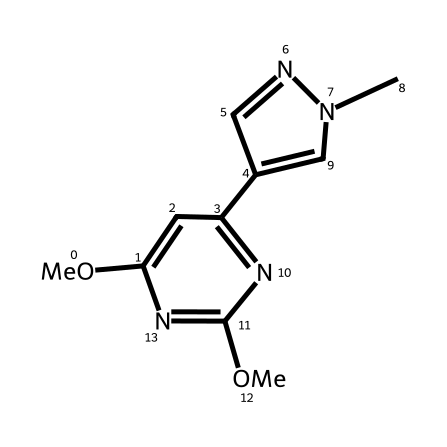 COc1cc(-c2cnn(C)c2)nc(OC)n1